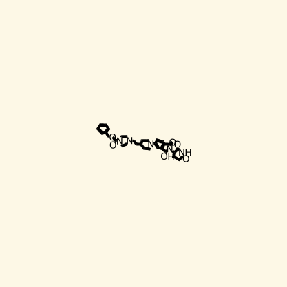 O=C1CCC(N2C(=O)c3ccc(N4CCC(CCN5CCN(C(=O)OCc6ccccc6)CC5)CC4)cc3C2O)C(=O)N1